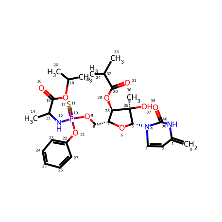 C=C1C=CN([C@@H]2O[C@H](COP(=S)(NC(C)C(=O)OC(C)C)Oc3ccccc3)[C@@H](OC(=O)C(C)C)[C@@]2(C)O)C(=O)N1